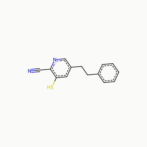 N#Cc1ncc(CCc2ccccc2)cc1S